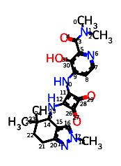 CN(C)C(=O)c1nccc(Nc2c(NC3c4cn(C)nc4CCC3(C)C)c(=O)c2=O)c1O